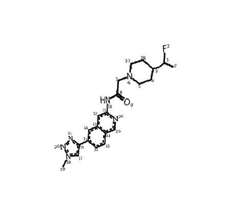 CC(F)C1CCN(CC(=O)Nc2cc3cc(-c4cn(C)nn4)ccc3cn2)CC1